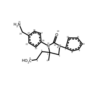 CC1(CCC(=O)O)CN(c2ccccc2)C(=O)N1c1ccc(CN)cc1